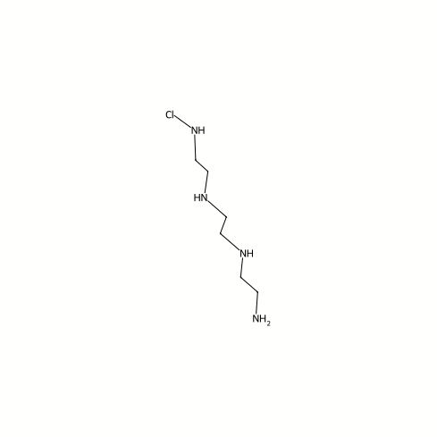 NCCNCCNCCNCl